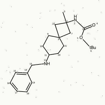 CC1(NC(=O)OC(C)(C)C)CC2(CCC(NCc3ccccc3)CC2)C1